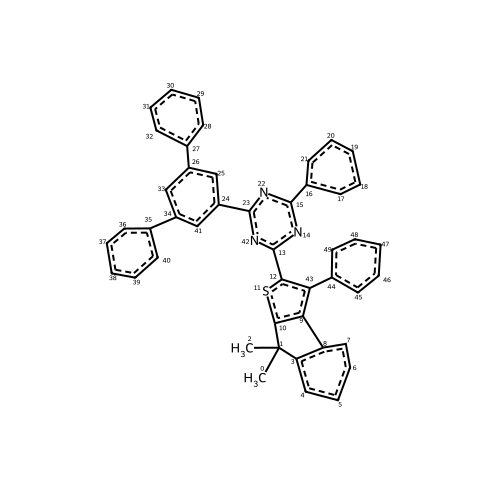 CC1(C)c2ccccc2-c2c1sc(-c1nc(-c3ccccc3)nc(-c3cc(-c4ccccc4)cc(-c4ccccc4)c3)n1)c2-c1ccccc1